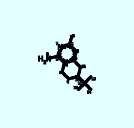 Cc1cc2c(c(N)n1)CCC(C(C)(C)C)C2